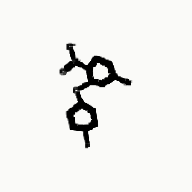 O=[N+]([O-])c1ccc(Br)cc1Oc1ccc(F)cc1